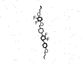 C=CCCOc1ccc(OCC2CCC(c3ccc(-c4ccc(OCCCC)cc4)c(F)c3F)CC2)c(F)c1F